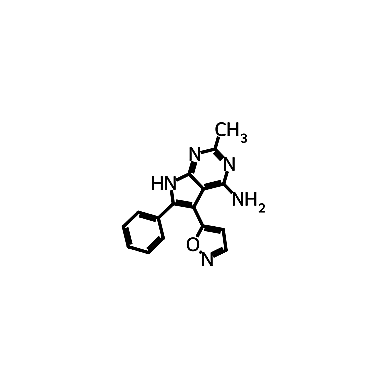 Cc1nc(N)c2c(-c3ccno3)c(-c3ccccc3)[nH]c2n1